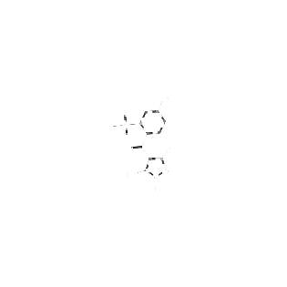 Cc1nn(C)c(O)c1C(=O)c1ccc(O)cc1S(C)(=O)=O